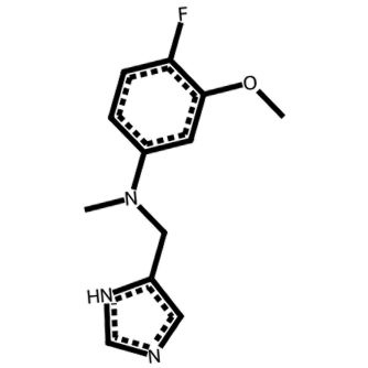 COc1cc(N(C)Cc2cnc[nH]2)ccc1F